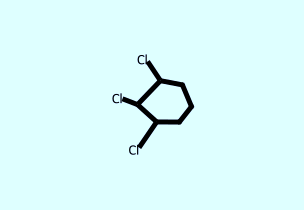 ClC1CCCC(Cl)C1Cl